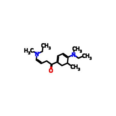 CCN(C)/C=C\CC(=O)C1=CC=C(N(C)CC)C(C)C1